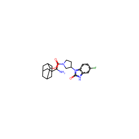 NC(=O)C12CC3CC(C1)C(OC(=O)N1CCC(n4c(=O)[nH]c5cc(F)ccc54)C1)C(C3)C2